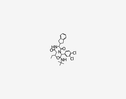 CC[C@H](C)[C@@H]1C(=O)NC(C2Cc3ccccc3C2)C(=O)N1C(C(=O)NC(C)(C)C)c1ccc(Cl)c(Cl)c1